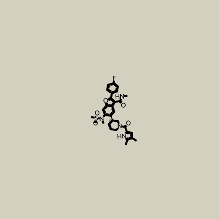 CNC(=O)c1c(-c2ccc(F)cc2)oc2cc(N(C)S(C)(=O)=O)c([C@@H]3CCCN(C(=O)c4cc(C)c(C)[nH]4)C3)cc12